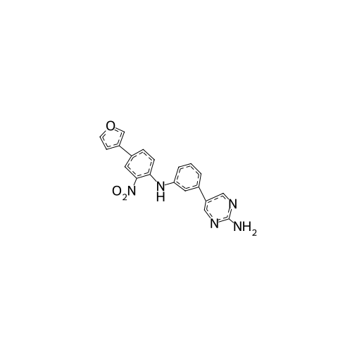 Nc1ncc(-c2cccc(Nc3ccc(-c4ccoc4)cc3[N+](=O)[O-])c2)cn1